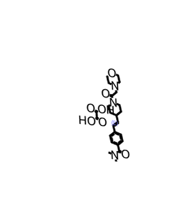 CN(C)C(=O)c1ccc(/C=C/C2CCN(C(=O)CN3CCOCC3)CC2)cc1.O=C(O)C(=O)O